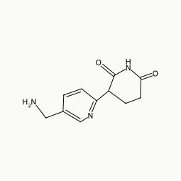 NCc1ccc(C2CCC(=O)NC2=O)nc1